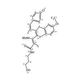 CNC(/N=C(Cc1cc(OC(F)(F)F)ccc1F)\C(C)=C/c1ccc(Cl)cc1)=C(/C)C(=O)NCCCO